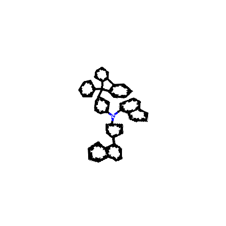 c1ccc(C2(c3cccc(N(c4ccc(-c5cccc6ccccc56)cc4)c4cccc5ccccc45)c3)c3ccccc3-c3ccccc32)cc1